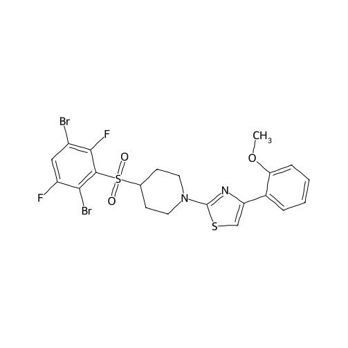 COc1ccccc1-c1csc(N2CCC(S(=O)(=O)c3c(F)c(Br)cc(F)c3Br)CC2)n1